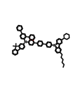 CCCCCCc1ccc2c(c1)c1cc(C3CCCCC3)ccc1n2-c1ccc(-c2ccc(-c3ccc(N(c4ccc5c(c4)C(C)(C)c4ccccc4-5)c4ccc(-c5ccccc5)cc4-c4ccccc4)cc3)cc2)cc1